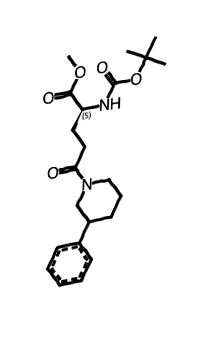 COC(=O)[C@H](CCC(=O)N1CCCC(c2ccccc2)C1)NC(=O)OC(C)(C)C